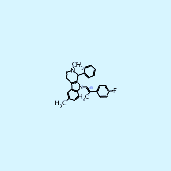 C/C(=C\n1c2c(c3cc(C)ccc31)CCN(C)C2c1ccccc1)c1ccc(F)cc1